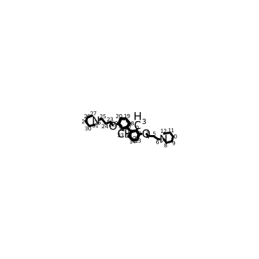 Cc1c(OCCCN2CCCCC2)cccc1-c1cccc(OCCCN2CCCCC2)c1C